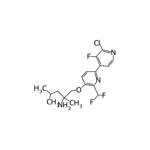 CC(C)CC(C)(N)COc1ccc(-c2ccnc(Cl)c2F)nc1C(F)F